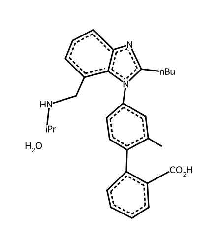 CCCCc1nc2cccc(CNC(C)C)c2n1-c1ccc(-c2ccccc2C(=O)O)c(C)c1.O